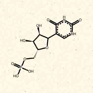 O=c1[nH]cc(C2O[C@H](COP(=O)(O)O)[C@@H](O)[C@H]2O)c(=O)[nH]1